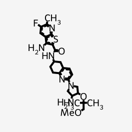 COCC(C)(C)OC1CN(c2ccc3c(n2)CCC(NC(=O)c2sc4nc(C)c(F)cc4c2N)C3)CC1N